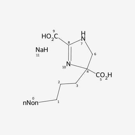 CCCCCCCCCCCCC1(C(=O)O)CNC(C(=O)O)=N1.[NaH]